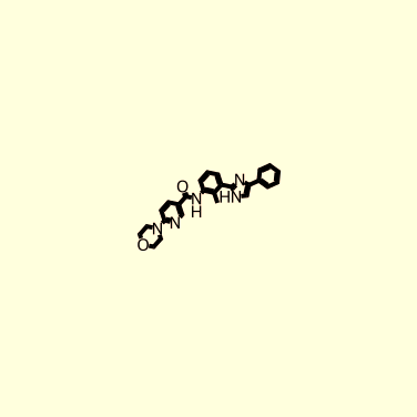 Cc1c(NC(=O)c2ccc(N3CCOCC3)nc2)cccc1-c1nc(-c2ccccc2)c[nH]1